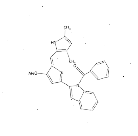 COC1=CC(c2cc3ccccc3n2C(=O)c2ccccc2)=NC1=Cc1[nH]c(C)cc1C